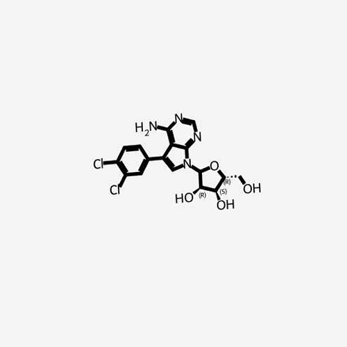 Nc1ncnc2c1c(-c1ccc(Cl)c(Cl)c1)cn2C1O[C@H](CO)[C@@H](O)[C@H]1O